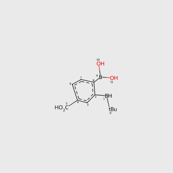 CC(C)(C)Bc1cc(C(=O)O)ccc1B(O)O